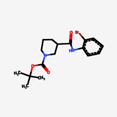 CC(C)(C)OC(=O)N1CCCC(C(=O)Nc2ccccc2Br)C1